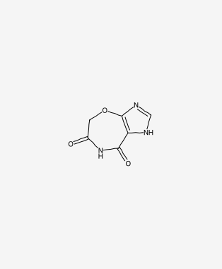 O=C1COc2nc[nH]c2C(=O)N1